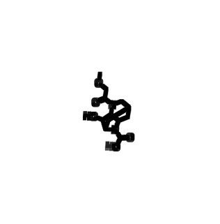 COCC(=O)N1CC2CC3C(O)C1C(C2)N3C(=O)O